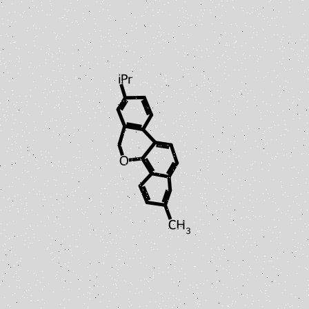 Cc1ccc2c3c(ccc2c1)-c1ccc(C(C)C)cc1CO3